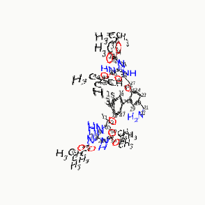 CC(C)(C)OC(=O)/N=C(/NCCOc1cccc(-c2cc(CN)ccc2OCCN/C(=N/C(=O)OC(C)(C)C)NC(=O)OC(C)(C)C)c1)NC(=O)OC(C)(C)C